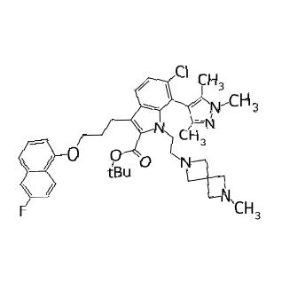 Cc1nn(C)c(C)c1-c1c(Cl)ccc2c(CCCOc3cccc4cc(F)ccc34)c(C(=O)OC(C)(C)C)n(CCN3CC4(CN(C)C4)C3)c12